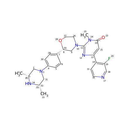 C[C@@H]1CN(c2ccc([C@H]3CN(c4nc(-c5ccncc5F)cc(=O)n4C)CCO3)cc2)C[C@H](C)N1